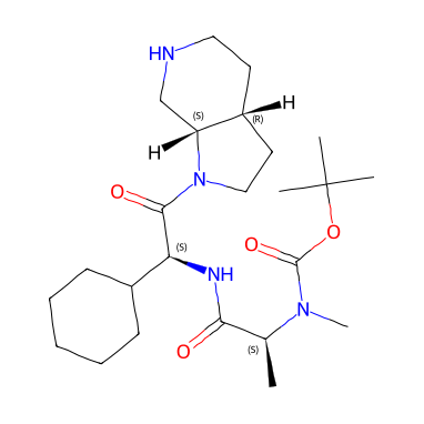 C[C@@H](C(=O)N[C@H](C(=O)N1CC[C@H]2CCNC[C@H]21)C1CCCCC1)N(C)C(=O)OC(C)(C)C